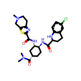 CN1CCc2nc(C(=O)N[C@H]3C[C@@H](C(=O)N(C)C)CC[C@@H]3NC(=O)C3CCc4cc(Cl)ccc4N3)sc2C1